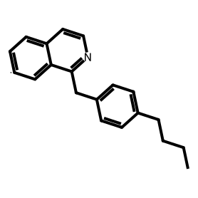 CCCCc1ccc(Cc2nccc3cc[c]cc23)cc1